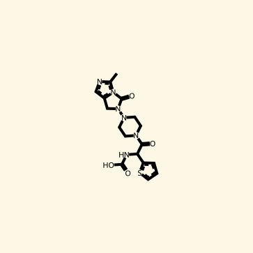 Cc1ncc2n1C(=O)N(N1CCN(C(=O)C(NC(=O)O)c3cccs3)CC1)C2